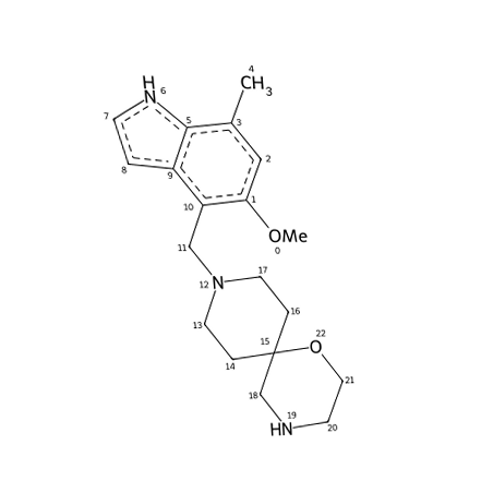 COc1cc(C)c2[nH]ccc2c1CN1CCC2(CC1)CNCCO2